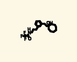 O=C(NCCCc1cccc(CCC2(O)CCCCCCC2)c1)C(F)(F)F